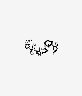 O=C(Nc1cnn2ccc(N3CCCC3c3cc(F)ccc3Cl)nc12)N1CC[C@H](O)C1